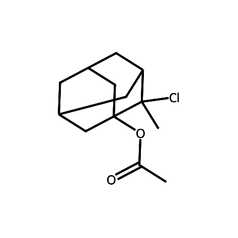 CC(=O)OC12CC3CC(CC(C3)C1(C)Cl)C2